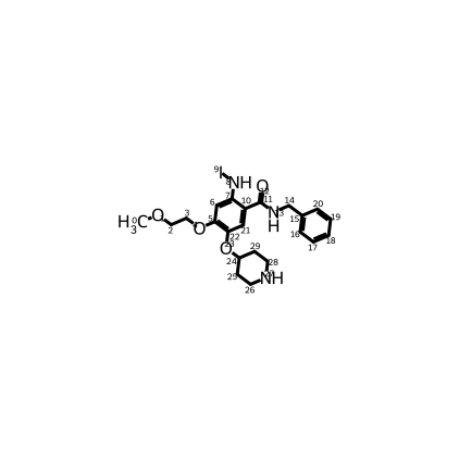 COCCOc1cc(NI)c(C(=O)NCc2ccccc2)cc1OC1CCNCC1